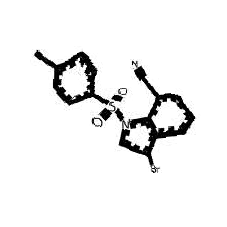 Cc1ccc(S(=O)(=O)n2cc(Br)c3cccc(C#N)c32)cc1